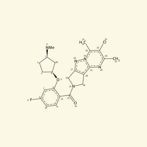 CN[C@@H]1CC[C@H](Oc2cc(F)ccc2C(=O)N2Cc3nn4c(C)c(Cl)c(C)nc4c3C2)C1